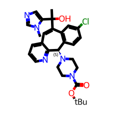 Cn1cncc1C(C)(O)C1=Cc2cccnc2[C@@H](N2CCN(C(=O)OC(C)(C)C)CC2)c2ccc(Cl)cc21